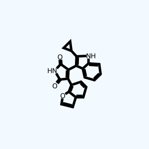 O=C1NC(=O)C(c2cccc3ccoc23)=C1c1c(C2CC2)[nH]c2ccccc12